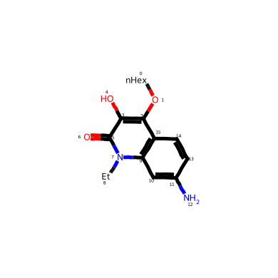 CCCCCCOc1c(O)c(=O)n(CC)c2cc(N)ccc12